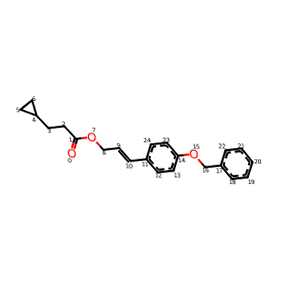 O=C(CCC1CC1)OCC=Cc1ccc(OCc2ccccc2)cc1